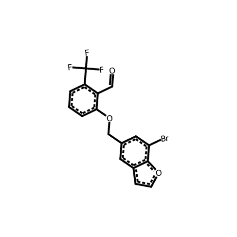 O=Cc1c(OCc2cc(Br)c3occc3c2)cccc1C(F)(F)F